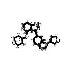 c1cc2[nH]nc(-c3ccc4ncn(C5CCOC5)c4c3)c2c(OC2CCOCC2)n1